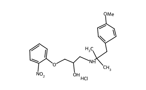 COc1ccc(CC(C)(C)NCC(O)COc2ccccc2[N+](=O)[O-])cc1.Cl